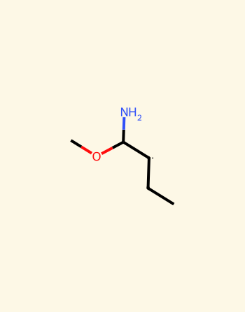 CC[CH]C(N)OC